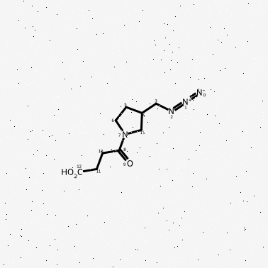 [N-]=[N+]=NCC1CCN(C(=O)CCC(=O)O)C1